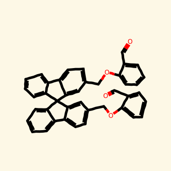 O=Cc1ccccc1OCc1ccc2c(c1)C1(c3ccccc3-2)c2ccccc2-c2ccc(COc3ccccc3C=O)cc21